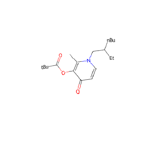 CCCCC(CC)Cn1ccc(=O)c(OC(=O)C(C)(C)C)c1C